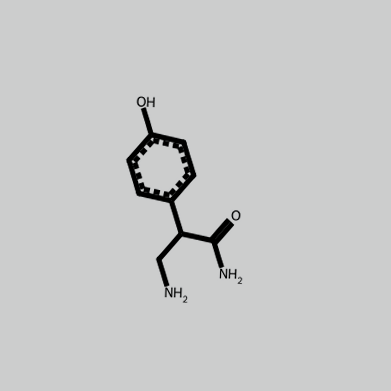 NCC(C(N)=O)c1ccc(O)cc1